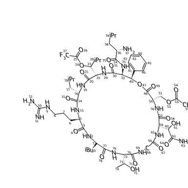 CC[C@H](C)C1NC(=O)[C@@H](CCCNC(=N)N)NC(=O)[C@H](CC(C)C)NC(=O)[C@H](C(OC(=O)C(F)(F)F)C(C)C)NC(=O)[C@@H](NC(=O)[C@@H](N)CC(C)C)[C@@H](c2ccccc2)OC(=O)[C@H](COC(=O)C(F)(F)F)NC(=O)[C@H](C(O)C(N)=O)NC(=O)CNC(=O)[C@H](C(C)O)NC1=O